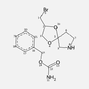 BrCC1COC2(CCNC2)O1.NC(=O)OCc1ccccc1